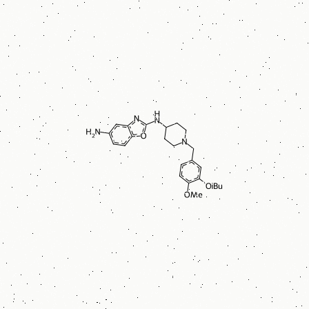 COc1ccc(CN2CCC(Nc3nc4cc(N)ccc4o3)CC2)cc1OCC(C)C